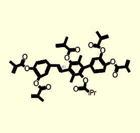 C=C(C)C(=O)Oc1ccc(/C=C/c2c(C)c(OC(=O)C(C)C)c(-c3ccc(OC(=O)C(=C)C)c(OC(=O)C(=C)C)c3)c(C)c2OC(=O)C(=C)C)cc1OC(=O)C(=C)C